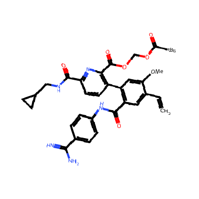 C=Cc1cc(C(=O)Nc2ccc(C(=N)N)cc2)c(-c2ccc(C(=O)NCC3CC3)nc2C(=O)OCOC(=O)C(C)(C)C)cc1OC